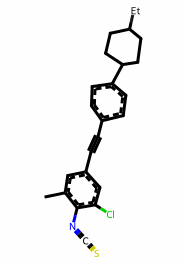 CCC1CCC(c2ccc(C#Cc3cc(C)c(N=C=S)c(Cl)c3)cc2)CC1